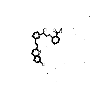 COC(=O)c1ccccc1CCC(Cl)c1cccc(/C=C/c2ccc3ccc(Cl)cc3n2)c1